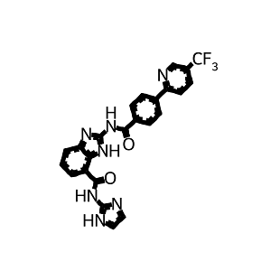 O=C(Nc1nc2cccc(C(=O)Nc3ncc[nH]3)c2[nH]1)c1ccc(-c2ccc(C(F)(F)F)cn2)cc1